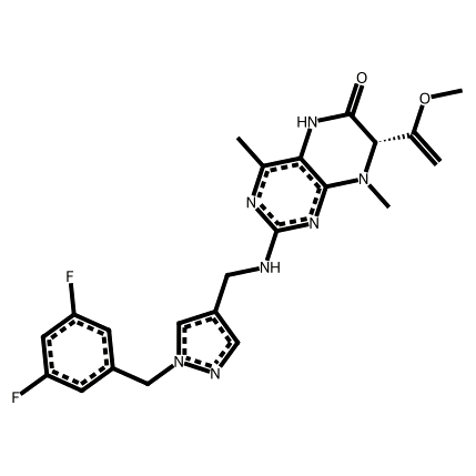 C=C(OC)[C@H]1C(=O)Nc2c(C)nc(NCc3cnn(Cc4cc(F)cc(F)c4)c3)nc2N1C